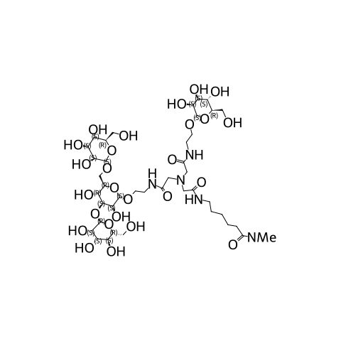 CNC(=O)CCCCCNC(=O)CN(CC(=O)NCCO[C@H]1O[C@H](CO)[C@@H](O)[C@H](O)[C@@H]1O)CC(=O)NCCO[C@H]1O[C@H](CO[C@H]2O[C@H](CO)[C@@H](O)[C@H](O)[C@@H]2O)[C@@H](O)[C@H](O[C@H]2O[C@H](CO)[C@@H](O)[C@H](O)[C@@H]2O)[C@@H]1O